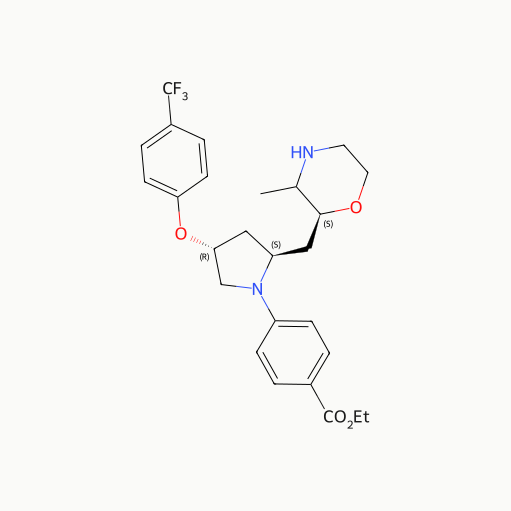 CCOC(=O)c1ccc(N2C[C@H](Oc3ccc(C(F)(F)F)cc3)C[C@H]2C[C@@H]2OCCNC2C)cc1